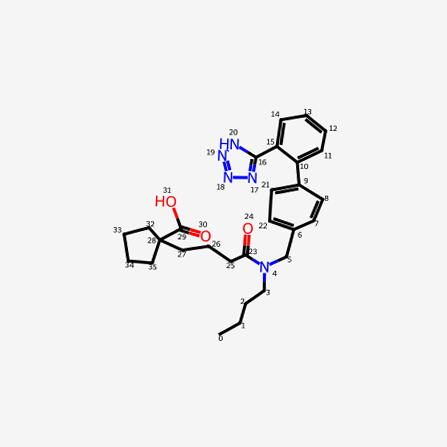 CCCCN(Cc1ccc(-c2ccccc2-c2nnn[nH]2)cc1)C(=O)CCCC1(C(=O)O)CCCC1